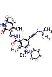 CCN(c1cc(C#CCN(C)C)cc(C(=O)NCc2c(C)cc(C)[nH]c2=O)c1C)C1CCCCC1